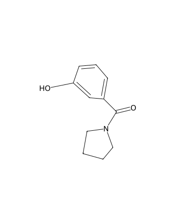 O=C(c1cccc(O)c1)N1CCCC1